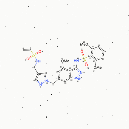 C=CS(=O)(=O)NCc1cnn(Cc2cc(OC)c3c(NS(=O)(=O)c4c(OC)cccc4OC)n[nH]c3c2)c1